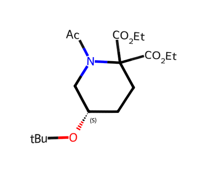 CCOC(=O)C1(C(=O)OCC)CC[C@H](OC(C)(C)C)CN1C(C)=O